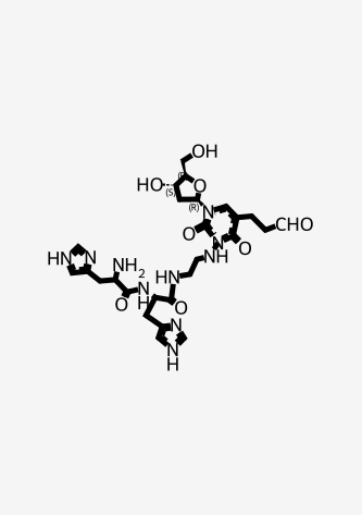 NC(Cc1c[nH]cn1)C(=O)NC(Cc1c[nH]cn1)C(=O)NCCNn1c(=O)c(CCC=O)cn([C@H]2C[C@H](O)[C@@H](CO)O2)c1=O